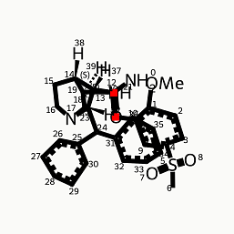 COc1ccc(S(C)(=O)=O)cc1CN[C@H]1[C@H]2CCN(C[C@@H]2C(N)=O)[C@H]1C(c1ccccc1)c1ccccc1